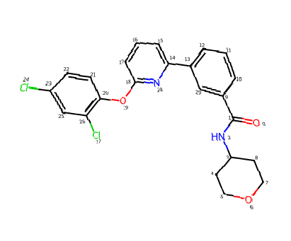 O=C(NC1CCOCC1)c1cccc(-c2cccc(Oc3ccc(Cl)cc3Cl)n2)c1